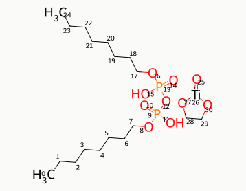 CCCCCCCCOP(=O)(O)OP(=O)(O)OCCCCCCCC.[O]=[Ti]1[O]CC[O]1